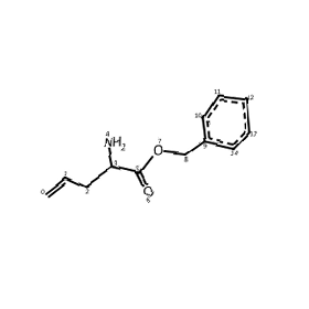 C=CCC(N)C(=O)OCc1ccccc1